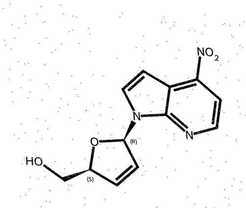 O=[N+]([O-])c1ccnc2c1ccn2[C@H]1C=C[C@@H](CO)O1